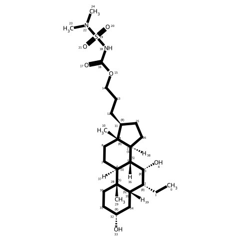 CC[C@H]1[C@@H](O)[C@@H]2[C@H](CC[C@]3(C)[C@@H](CCCOC(=O)NS(=O)(=O)N(C)C)CC[C@@H]23)[C@@]2(C)CC[C@@H](O)C[C@@H]12